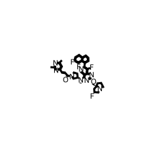 Cc1cc(/C=C/C(=O)N2CC[C@@H](N(C)c3nc(OC[C@@]45CCCN4C[C@H](F)C5)nc4c(F)c(-c5cccc6ccc(F)c(F)c56)ncc34)C2)nc(C)n1